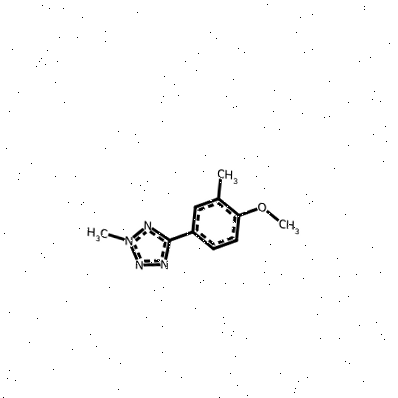 COc1ccc(-c2nnn(C)n2)cc1C